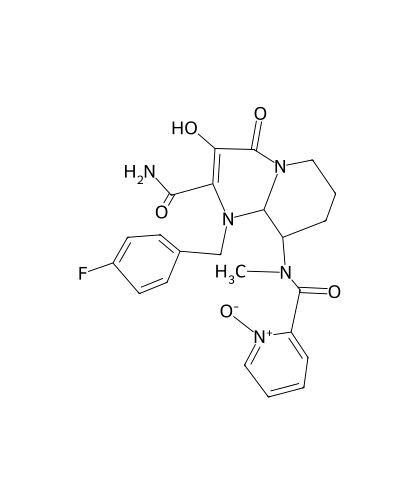 CN(C(=O)c1cccc[n+]1[O-])C1CCCN2C(=O)C(O)=C(C(N)=O)N(Cc3ccc(F)cc3)C12